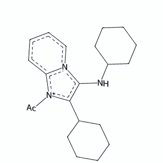 CC(=O)[n+]1c(C2CCCCC2)c(NC2CCCCC2)n2ccccc21